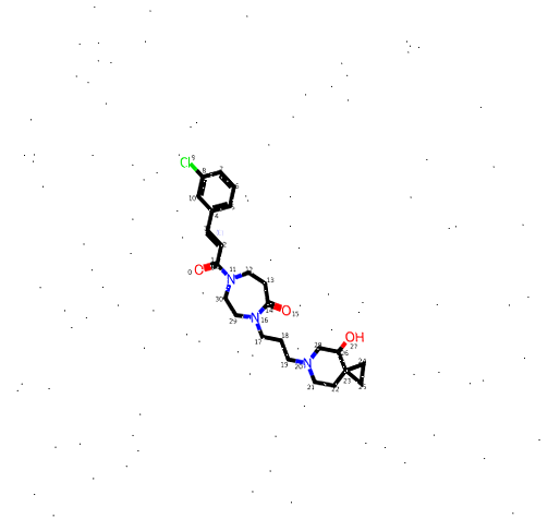 O=C(/C=C/c1cccc(Cl)c1)N1CCC(=O)N(CCCN2CCC3(CC3)C(O)C2)CC1